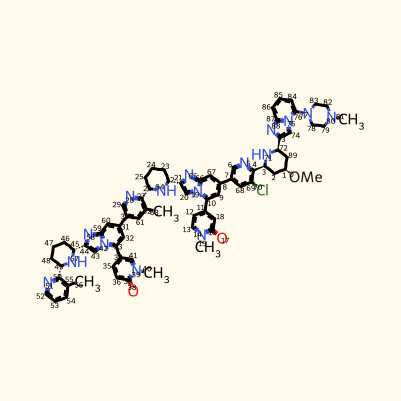 CO[C@@H]1C[C@@H](c2ncc(-c3cc(-c4ccn(C)c(=O)c4)n4cc([C@H]5CCC[C@@H](c6ncc(-c7cc(-c8ccc(=O)n(C)c8)n8cc([C@H]9CCC[C@@H](c%10ncccc%10C)N9)nc8c7)cc6C)N5)nc4c3)cc2Cl)N[C@@H](c2cn3c(N4CCN(C)CC4)cccc3n2)C1